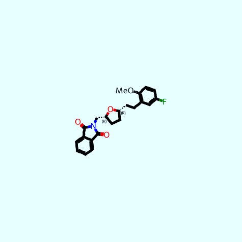 COc1ccc(F)cc1CC[C@@H]1CC[C@H](CN2C(=O)c3ccccc3C2=O)O1